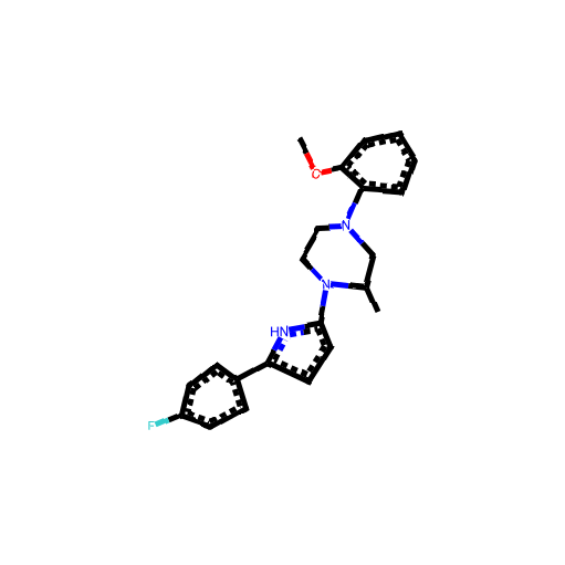 COc1ccccc1N1CCN(c2ccc(-c3ccc(F)cc3)[nH]2)C(C)C1